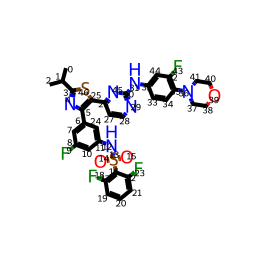 CC(C)c1nc(-c2cc(F)cc(NS(=O)(=O)c3c(F)cccc3F)c2)c(-c2ccnc(Nc3ccc(N4CCOCC4)c(F)c3)n2)s1